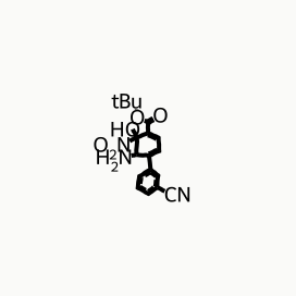 CC(C)(C)OC(=O)C1=CC=C(c2cccc(C#N)c2)C(N)C1(O)[N+](=O)[O-]